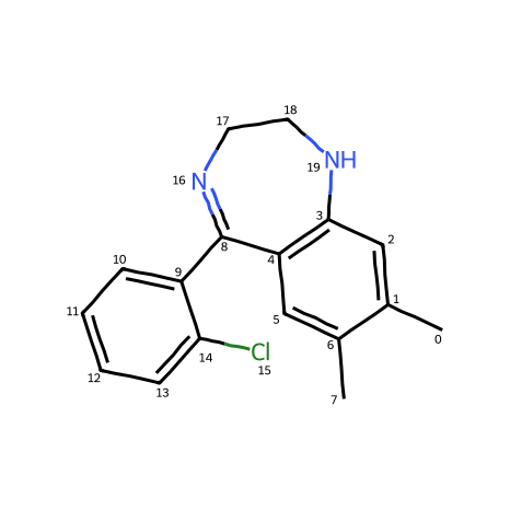 Cc1cc2c(cc1C)C(c1ccccc1Cl)=NCCN2